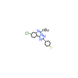 CCCCc1nc2cc(Cl)ccc2c2nc(-c3ccc(F)cc3)nn12